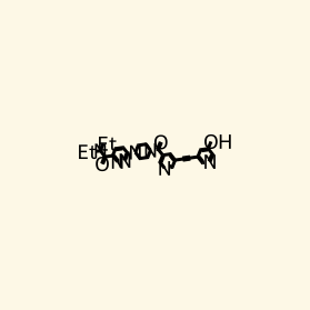 CCN(CC)C(=O)c1ccc(N2CCN(C(=O)c3cncc(C#Cc4cncc(O)c4)c3)CC2)nn1